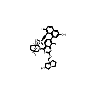 CC(C)[Si](C#Cc1c(F)ccc2cc(O)cc(-c3ccc4c(N5C[C@H]6CC[C@@H](C5)N6)nc(OC[C@@]56CCCN5C[C@H](F)C6)nc4c3F)c12)(C(C)C)C(C)C